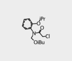 CC(C)COCN(C(=O)CCl)c1ccccc1OC(C)C